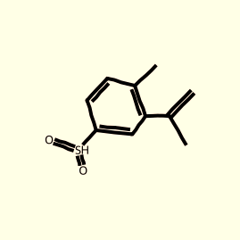 C=C(C)c1cc([SH](=O)=O)ccc1C